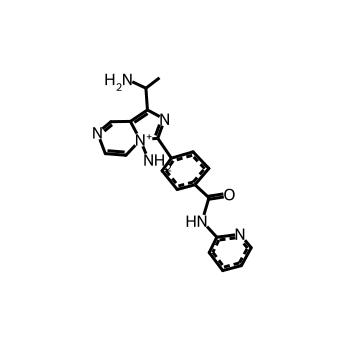 CC(N)C1=C2C=NC=C[N+]2(N)C(c2ccc(C(=O)Nc3ccccn3)cc2)=N1